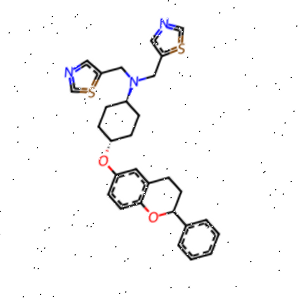 c1ccc(C2CCc3cc(O[C@H]4CC[C@H](N(Cc5cncs5)Cc5cncs5)CC4)ccc3O2)cc1